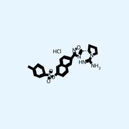 Cc1ccc(S(=O)(=O)Oc2ccc3cc(-c4noc([C@@H]5CCCN5C(=N)N)n4)ccc3c2)cc1.Cl